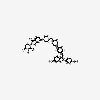 O=C1CCC(N2Cc3nc(N4CCN(CC5CCN(c6ccc(Oc7c(-c8ccc(O)cc8)sc8cc(O)ccc78)cc6)CC5)CC4)ccc3C2=O)C(=O)N1